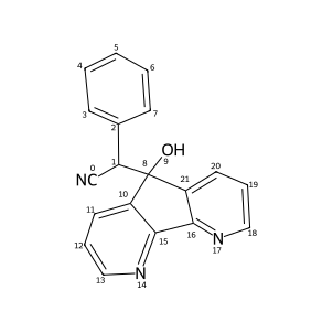 N#CC(c1ccccc1)C1(O)c2cccnc2-c2ncccc21